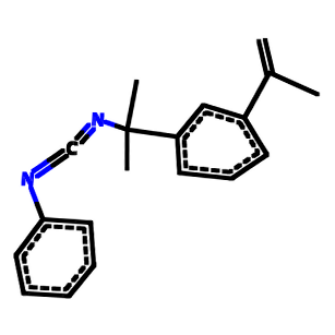 C=C(C)c1cccc(C(C)(C)N=C=Nc2ccccc2)c1